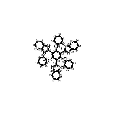 Cc1c(-c2nc3cccnc3n2-c2ccccc2)c(C)c(-c2nc3cccnc3n2-c2ccccc2)c(C)c1-c1nc2cccnc2n1-c1ccccc1